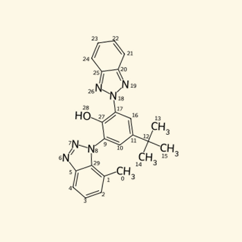 Cc1cccc2nnn(-c3cc(C(C)(C)C)cc(-n4nc5ccccc5n4)c3O)c12